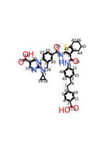 O=C(O)c1ccc(CCc2ccc(NC(=O)c3c(NC(=O)c4cccc(CN(c5ncc(C(=O)O)cn5)C5CC5)c4)sc4c3CCCC4)cc2)cc1